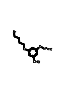 CCCCCOc1cc(C=O)cc(OCCCCBr)c1